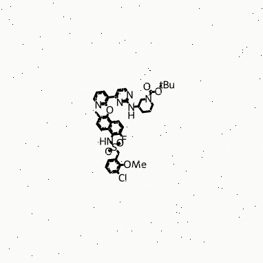 COc1c(Cl)cccc1CS(=O)(=O)Nc1c(F)ccc2c(Oc3ncccc3-c3ccnc(NC4CCCN(C(=O)OC(C)(C)C)C4)n3)c(C)ccc12